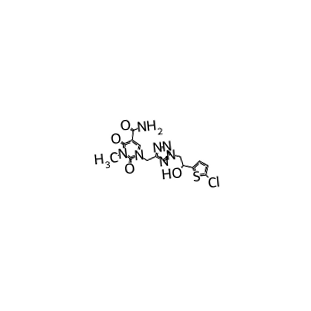 Cn1c(=O)c(C(N)=O)cn(Cc2nnn(C[C@H](O)c3ccc(Cl)s3)n2)c1=O